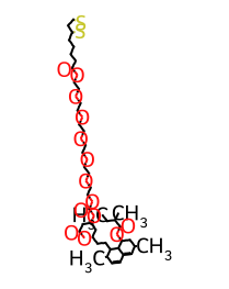 CCC(C)C(=O)OC1CC(C)C=C2C=CC(C)C(CCC3CC(OC(=O)OCCOCCOCCOCCOCCOCCOC(=O)CCCCC4CCSS4)CC(=O)O3)C21